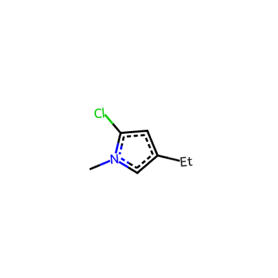 CCc1cc(Cl)n(C)c1